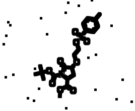 COC(=O)C1CC(OCCOS(=O)(=O)c2ccc(C)cc2)C(=O)N1C(=O)OC(C)(C)C